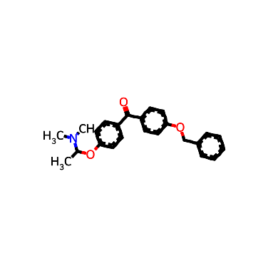 CC(Oc1ccc(C(=O)c2ccc(OCc3ccccc3)cc2)cc1)N(C)C